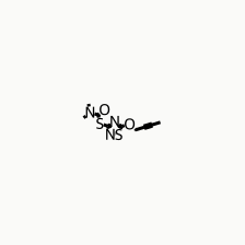 CC#CCOc1nc(SC(=O)N(C)C)ns1